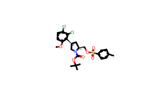 COc1ccc(Cl)c(Cl)c1[C@H]1C[C@@H](COS(=O)(=O)c2ccc(C)cc2)N(C(=O)OC(C)(C)C)C1